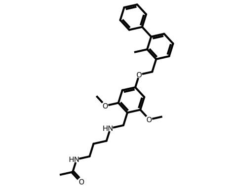 COc1cc(OCc2cccc(-c3ccccc3)c2C)cc(OC)c1CNCCCNC(C)=O